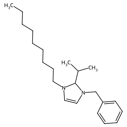 CCCCCCCCCN1C=CN(Cc2ccccc2)C1C(C)C